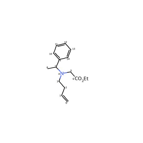 C=CCCN(CC(=O)OCC)C(C)c1ccccc1